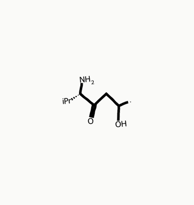 [CH2]C(O)CC(=O)[C@@H](N)C(C)C